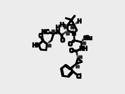 CC(C)(C)[C@H](NC(=O)[C@@H]1C[C@H]1c1ccccc1Cl)C(=O)N1C[C@H]2[C@@H]([C@H]1C(=O)N[C@H](C#N)C[C@@H]1CCNC1=O)C2(C)C